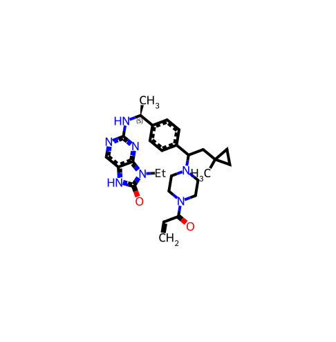 C=CC(=O)N1CCN(C(CC2(C)CC2)c2ccc([C@H](C)Nc3ncc4[nH]c(=O)n(CC)c4n3)cc2)CC1